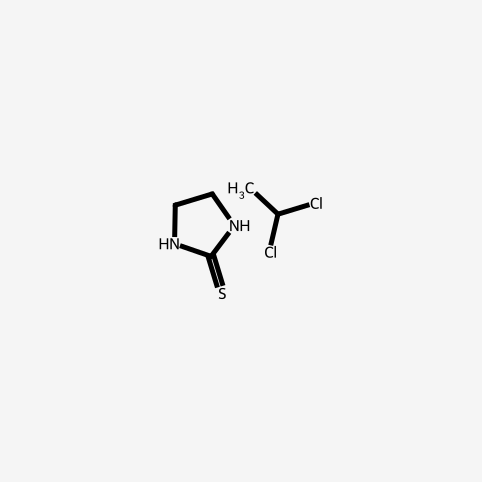 CC(Cl)Cl.S=C1NCCN1